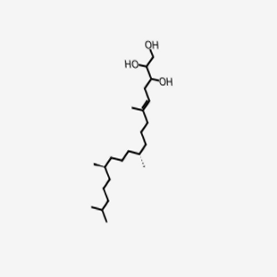 C/C(=C\CC(O)C(O)CO)CCC[C@H](C)CCC[C@H](C)CCCC(C)C